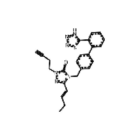 C#CCCn1nc(C=CCC)n(Cc2ccc(-c3ccccc3-c3nnn[nH]3)cc2)c1=O